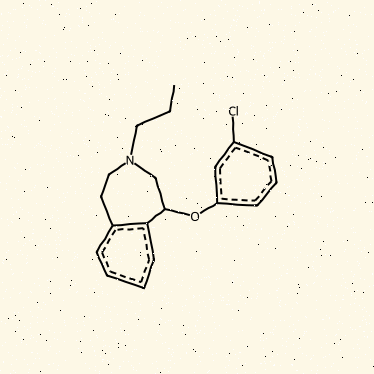 CCCN1CCc2ccccc2C(Oc2cccc(Cl)c2)C1